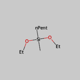 [CH2]CCCC[Si](C)(OCC)OCC